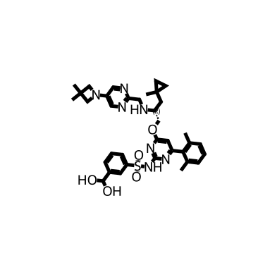 Cc1cccc(C)c1-c1cc(OC[C@@H](CC2(C)CC2)NCc2ncc(N3CC(C)(C)C3)cn2)nc(NS(=O)(=O)c2cccc(C(O)O)c2)n1